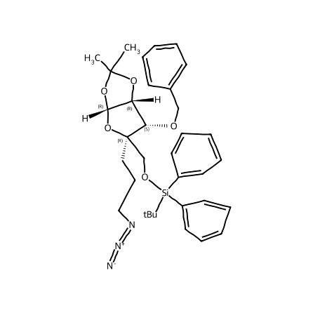 CC1(C)O[C@H]2O[C@](CCCN=[N+]=[N-])(CO[Si](c3ccccc3)(c3ccccc3)C(C)(C)C)[C@@H](OCc3ccccc3)[C@H]2O1